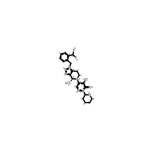 C[C@H]1c2nnn(Cc3ccccc3C(F)F)c2CCN1c1cnn(C2CCCCO2)c(=O)c1Cl